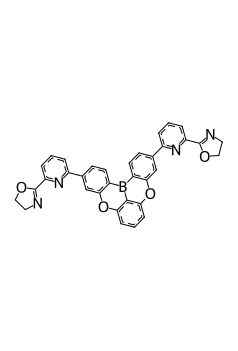 c1cc(C2=NCCO2)nc(-c2ccc3c(c2)Oc2cccc4c2B3c2ccc(-c3cccc(C5=NCCO5)n3)cc2O4)c1